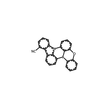 N#Cc1cccc2c1c1cccc3c1n2-c1cccc2c1B3c1ccccc1O2